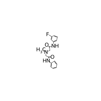 CN(CC(=O)Nc1ccccc1)CC(=O)Nc1cccc(F)c1